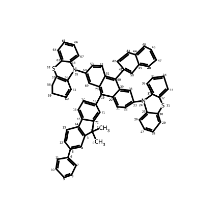 CC1(C)c2cc(-c3ccccc3)ccc2-c2ccc(-c3c4ccc(N5c6ccccc6Sc6ccccc65)cc4c(-c4ccc5ccccc5c4)c4ccc(N5C6=C(CCC=C6)Sc6ccccc65)cc34)cc21